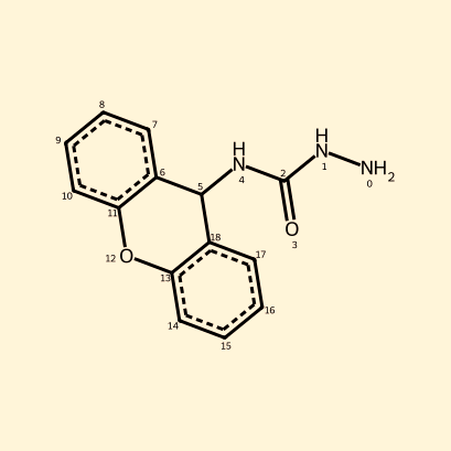 NNC(=O)NC1c2ccccc2Oc2ccccc21